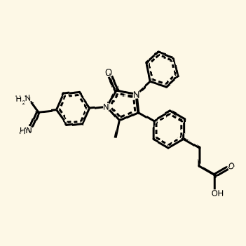 Cc1c(-c2ccc(CCC(=O)O)cc2)n(-c2ccccc2)c(=O)n1-c1ccc(C(=N)N)cc1